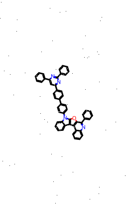 c1ccc(-c2cc(-c3ccc(-c4ccc(-n5c6ccccc6c6c7c(oc65)c(-c5ccccc5)nc5ccccc57)cc4)cc3)nc(-c3ccccc3)n2)cc1